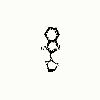 C1=CSN(c2nc3ccccc3[nH]2)S1